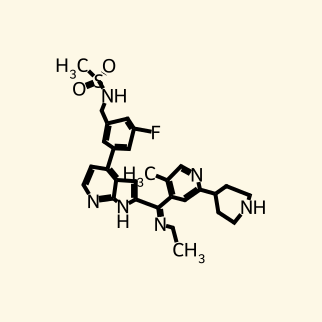 CC/N=C(/c1cc2c(-c3cc(F)cc(CNS(C)(=O)=O)c3)ccnc2[nH]1)c1cc(C2CCNCC2)ncc1C